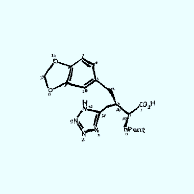 CCCCC[C@H](C(=O)O)[C@H](Cc1ccc2c(c1)OCO2)c1nnn[nH]1